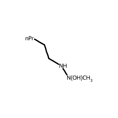 CCCCCNN(C)O